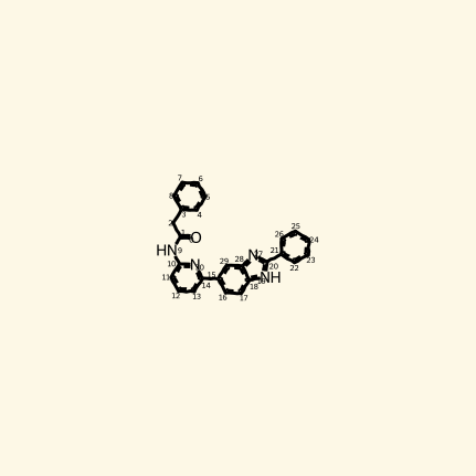 O=C(Cc1ccccc1)Nc1cccc(-c2ccc3[nH]c(-c4ccccc4)nc3c2)n1